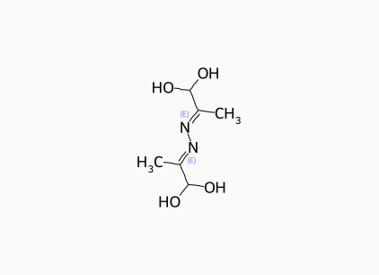 C/C(=N\N=C(/C)C(O)O)C(O)O